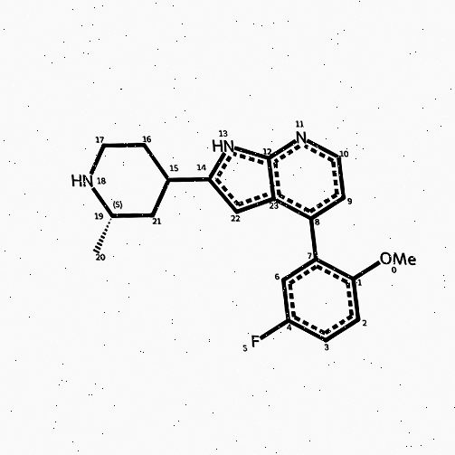 COc1ccc(F)cc1-c1ccnc2[nH]c(C3CCN[C@@H](C)C3)cc12